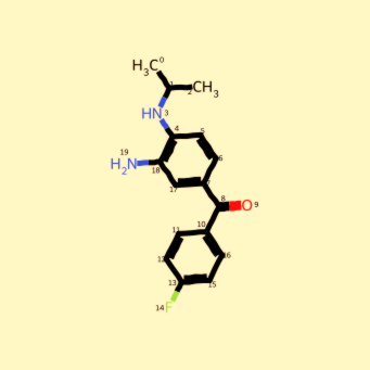 CC(C)Nc1ccc(C(=O)c2ccc(F)cc2)cc1N